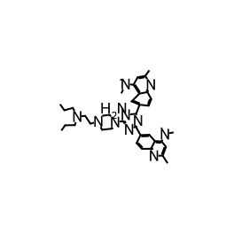 CCCN(CCC)CCN1CCN(C2=NC(c3ccc4nc(C)cc(N(C)C)c4c3)=NC(c3ccc4nc(C)cc(N(C)C)c4c3)N2N)CC1